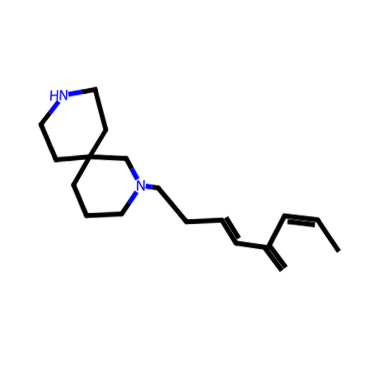 C=C(/C=C\C)/C=C/CCN1CCCC2(CCNCC2)C1